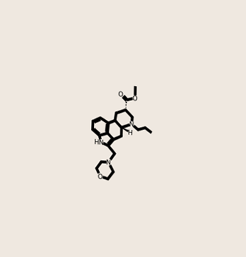 CCCN1C[C@@H](C(=O)OC)CC2c3cccc4[nH]c(CN5CCOCC5)c(c34)C[C@H]21